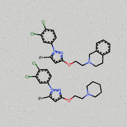 CC(C)c1cc(OCCN2CCCCC2)nn1-c1ccc(Cl)c(Cl)c1.CC(C)c1cc(OCCN2CCc3ccccc3C2)nn1-c1ccc(Cl)c(Cl)c1